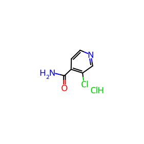 Cl.NC(=O)c1ccncc1Cl